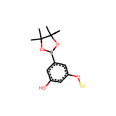 CC1(C)OB(c2cc(O)cc(OS)c2)OC1(C)C